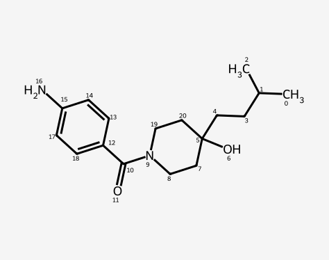 CC(C)CCC1(O)CCN(C(=O)c2ccc(N)cc2)CC1